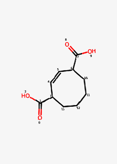 O=C(O)C1/C=C\C(C(=O)O)CCCC1